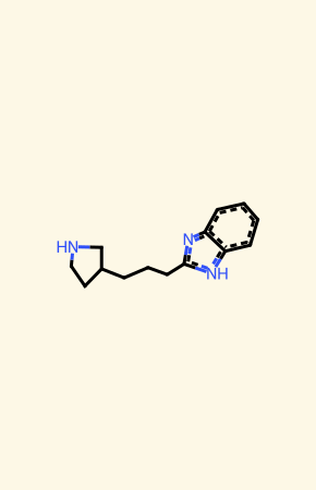 c1ccc2[nH]c(CCCC3CCNC3)nc2c1